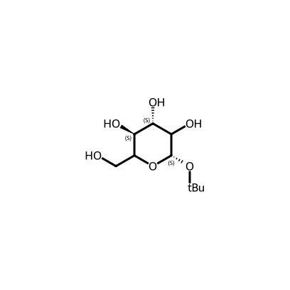 CC(C)(C)O[C@@H]1OC(CO)[C@@H](O)[C@H](O)C1O